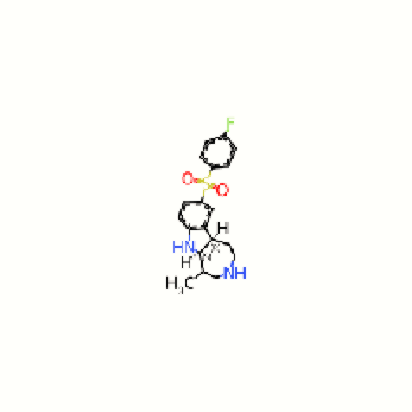 CC1CNCC[C@@H]2c3cc(S(=O)(=O)c4ccc(F)cc4)ccc3N[C@H]12